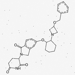 O=C1CCC(N2Cc3cc(OC4CCCCC4N4CC(OCc5ccccc5)C4)ccc3C2=O)C(=O)N1